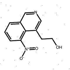 O=[N+]([O-])c1cccc2cncc(CCO)c12